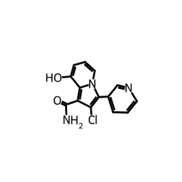 NC(=O)c1c(Cl)c(-c2cccnc2)n2cccc(O)c12